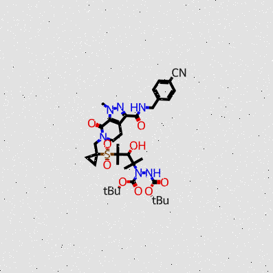 Cn1nc(C(=O)NCc2ccc(C#N)cc2)c2c1C(=O)N(CC1(S(=O)(=O)C(C)(C)C(O)C(C)(C)N(NC(=O)OC(C)(C)C)C(=O)OC(C)(C)C)CC1)CC2